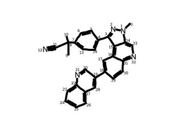 Cn1nc(-c2ccc(C(C)(C)C#N)cc2)c2c3cc(-c4cnc5ccccc5c4)ccc3ncc21